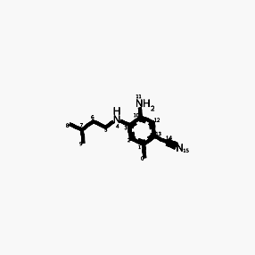 Cc1cc(NCCC(C)C)c(N)cc1C#N